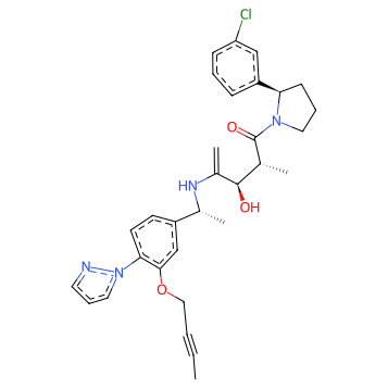 C=C(N[C@H](C)c1ccc(-n2cccn2)c(OCC#CC)c1)[C@H](O)[C@@H](C)C(=O)N1CCC[C@@H]1c1cccc(Cl)c1